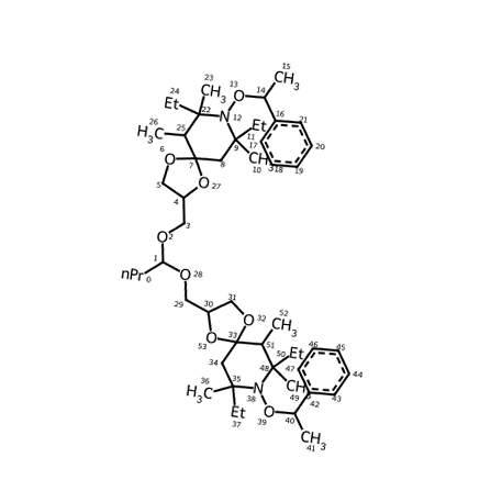 CCCC(OCC1COC2(CC(C)(CC)N(OC(C)c3ccccc3)C(C)(CC)C2C)O1)OCC1COC2(CC(C)(CC)N(OC(C)c3ccccc3)C(C)(CC)C2C)O1